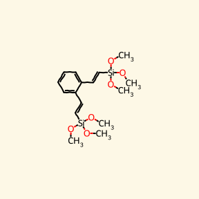 CO[Si](C=Cc1ccccc1C=C[Si](OC)(OC)OC)(OC)OC